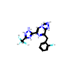 Fc1ccccc1Cc1nc(-c2nc(C(F)(F)F)n[nH]2)cn2cnnc12